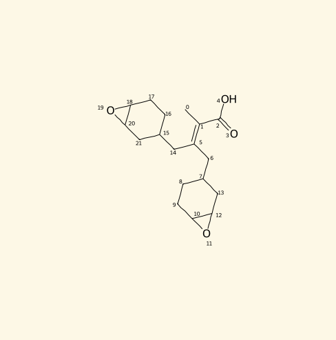 CC(C(=O)O)=C(CC1CCC2OC2C1)CC1CCC2OC2C1